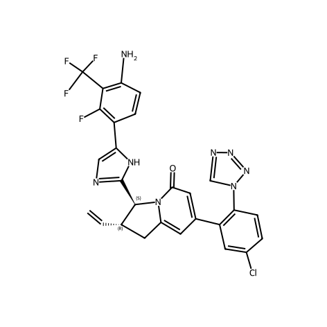 C=C[C@H]1Cc2cc(-c3cc(Cl)ccc3-n3cnnn3)cc(=O)n2[C@@H]1c1ncc(-c2ccc(N)c(C(F)(F)F)c2F)[nH]1